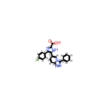 O=C(O)c1nc(-c2ccc(F)cc2)c(-c2ccc3nnc(-c4ccccc4)n3c2)[nH]1